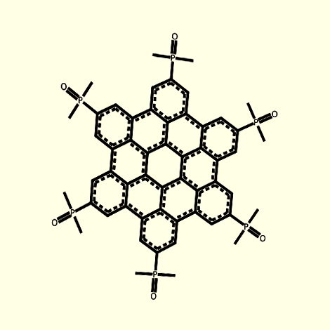 CP(C)(=O)c1cc2c3cc(P(C)(C)=O)cc4c5cc(P(C)(C)=O)cc6c7cc(P(C)(C)=O)cc8c9cc(P(C)(C)=O)cc%10c%11cc(P(C)(C)=O)cc%12c(c1)c2c1c(c34)c(c56)c(c78)c(c%109)c1c%12%11